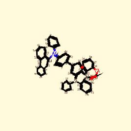 c1ccc(N(c2ccc(-c3ccc4c(c3)[SiH](c3ccccc3)c3ccccc3[Si]43c4ccccc4Oc4ccccc43)cc2)c2cc3ccccc3c3ccccc23)cc1